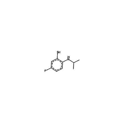 CC(C)Nc1ccc(F)cc1S